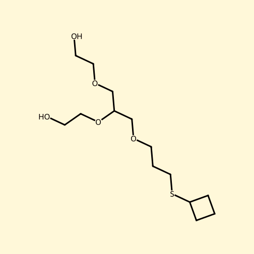 OCCOCC(COCCCSC1CCC1)OCCO